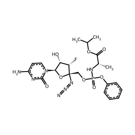 CC(C)OC(=O)[C@H](C)NP(=O)(OC[C@@]1(N=[N+]=[N-])O[C@@H](n2ccc(N)nc2=O)[C@H](O)[C@@H]1F)Oc1ccccc1